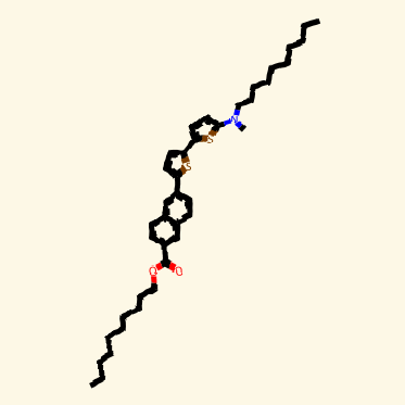 CCCCCCCCCCOC(=O)c1ccc2cc(-c3ccc(-c4ccc(N(C)CCCCCCCCCC)s4)s3)ccc2c1